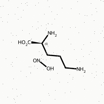 NCCC[C@H](N)C(=O)O.O=NO